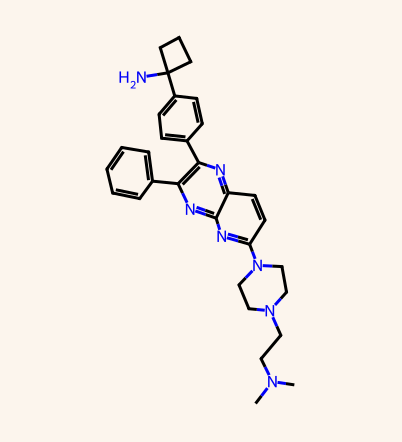 CN(C)CCN1CCN(c2ccc3nc(-c4ccc(C5(N)CCC5)cc4)c(-c4ccccc4)nc3n2)CC1